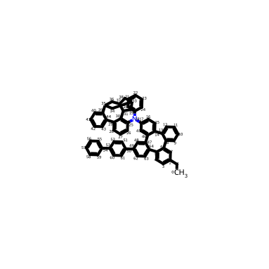 CCc1ccc2c(c1)-c1ccccc1-c1ccc(N(c3ccccc3)c3cccc4c3C3CC5CC(CC3C5)c3ccccc3-4)cc1-c1cc(-c3ccc(-c4ccccc4)cc3)ccc1-2